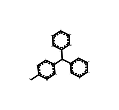 Cc1ccc([C](c2ccccc2)c2ccccc2)cc1